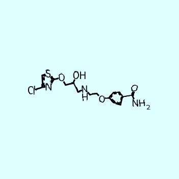 NC(=O)c1ccc(OCCNCC(O)COc2nc(Cl)cs2)cc1